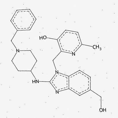 Cc1ccc(O)c(Cn2c(NC3CCN(Cc4ccccc4)CC3)nc3cc(CO)ccc32)n1